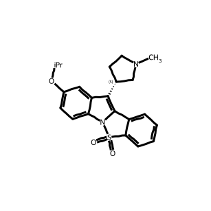 CC(C)Oc1ccc2c(c1)c([C@@H]1CCN(C)C1)c1n2S(=O)(=O)c2ccccc2-1